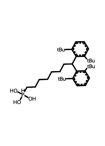 CC(C)(C)c1cccc(C(C)(C)C)c1C(CCCCCCC[PH](O)(O)O)c1c(C(C)(C)C)cccc1C(C)(C)C